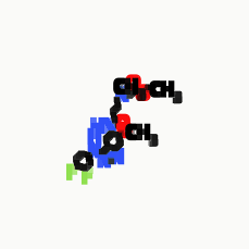 CCOC(=O)CN(C)CC=CC(=O)Nc1cc2c(Nc3ccc(F)c(F)c3)ncnc2cc1OC